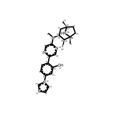 CN(c1cnc(-c2ccc(-n3ccnc3)cc2O)cn1)[C@H]1C[C@]2(C)CC[C@@](C)(N2)[C@H]1F